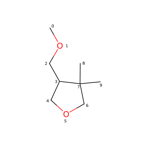 COCC1COCC1(C)C